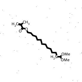 C=C(C)C(=O)OCCCCCCCCCCCC[SiH2]C(OC)OC